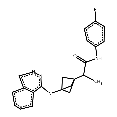 CC(C(=O)Nc1ccc(F)cc1)C12CC(Nc3nncc4ccccc34)(C1)C2